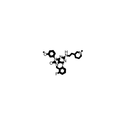 COc1cccc(-n2c(=O)n(Cc3c(F)cccc3F)c3cnc(NCCC4CCCN(C)C4)nc32)c1